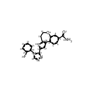 NC(=O)c1ccc2c(c1)OCCc1sc(-c3nncn3-c3ccccc3F)cc1-2